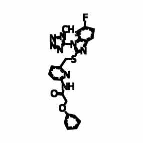 Cn1nnnc1-n1c(SCc2cccc(NC(=O)COc3ccccc3)n2)nc2ccc(F)cc21